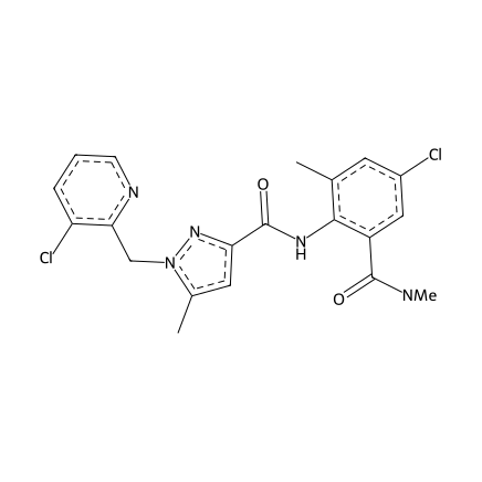 CNC(=O)c1cc(Cl)cc(C)c1NC(=O)c1cc(C)n(Cc2ncccc2Cl)n1